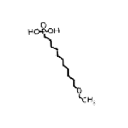 CCOCCCCCCCCCCCP(=O)(O)O